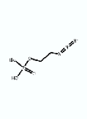 CC(C)(C)P(=O)(O)OCCN=[N+]=[N-]